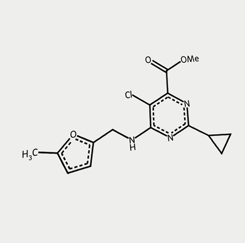 COC(=O)c1nc(C2CC2)nc(NCc2ccc(C)o2)c1Cl